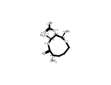 CCC[C@H]1CCCC[C@H](N)C(=O)O[C@@H](C)[C@@H]1OC(=O)C(C)C